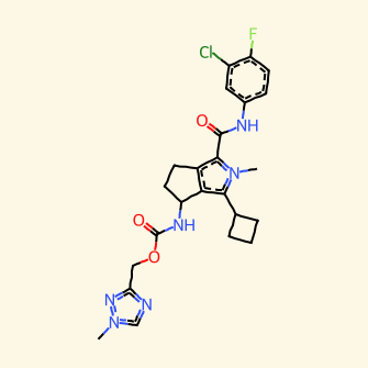 Cn1cnc(COC(=O)NC2CCc3c2c(C2CCC2)n(C)c3C(=O)Nc2ccc(F)c(Cl)c2)n1